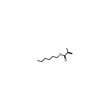 C=C(C)C(=O)OCCC[CH]CC